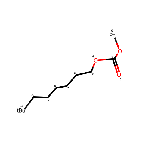 CC(C)OC(=O)OCCCCCCC(C)(C)C